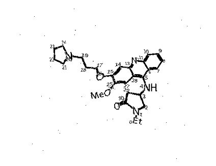 CCN1CC(Nc2c3ccccc3nc3cc(OCCCN4CCCC4)c(OC)cc23)CC1=O